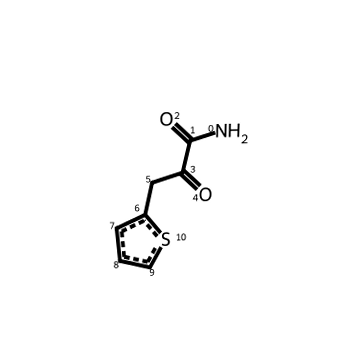 NC(=O)C(=O)Cc1cccs1